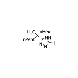 CCCCCCC(C)(CCCCC)c1nnc(I)[nH]1